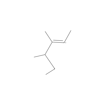 C/[C]=C(\C)C(C)CC